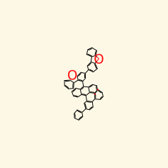 c1ccc(-c2ccc(-c3ccccc3)c(-c3c4ccccc4c(-c4cc(-c5ccc6oc7ccccc7c6c5)cc5oc6ccccc6c45)c4ccccc34)c2)cc1